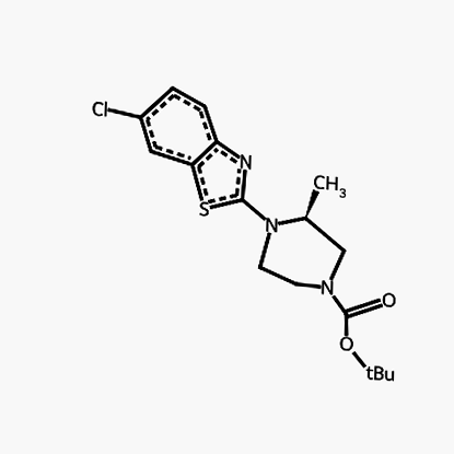 C[C@H]1CN(C(=O)OC(C)(C)C)CCN1c1nc2ccc(Cl)cc2s1